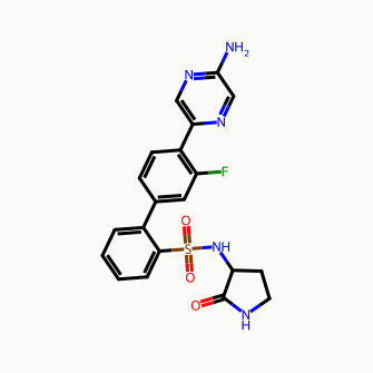 Nc1cnc(-c2ccc(-c3ccccc3S(=O)(=O)NC3CCNC3=O)cc2F)cn1